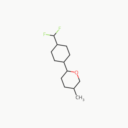 CC1CCC(C2CCC(C(F)F)CC2)OC1